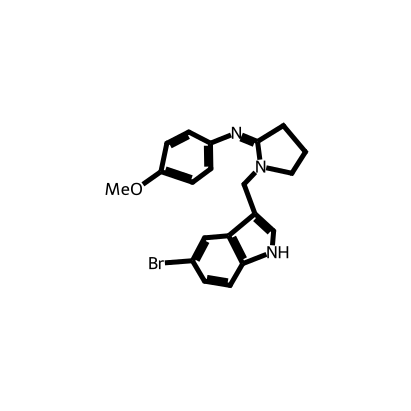 COc1ccc(/N=C2/CCCN2Cc2c[nH]c3ccc(Br)cc23)cc1